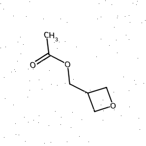 CC(=O)OC[C]1COC1